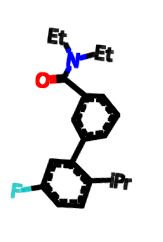 CCN(CC)C(=O)c1cccc(-c2cc(F)ccc2C(C)C)c1